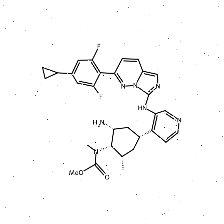 COC(=O)N(C)[C@@H]1[C@H](N)C[C@H](c2ccncc2Nc2ncc3ccc(-c4c(F)cc(C5CC5)cc4F)nn23)C[C@@H]1C